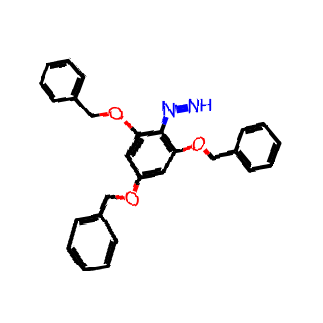 N=Nc1c(OCc2ccccc2)cc(OCc2ccccc2)cc1OCc1ccccc1